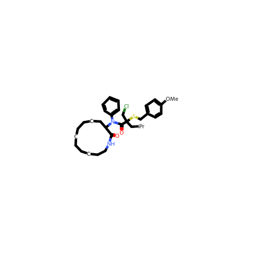 COc1ccc(CSC(CCl)(CC(C)C)C(=O)N(c2ccccc2)C2CCCCCCCCCCNC2=O)cc1